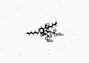 C=CCCCCN1CC[C@@H](c2coc(CCC=C)c2)[C@]2(CC(COC(=O)OC(C)(C)C)N(C(=O)OC(C)(C)C)C2C)C1=O